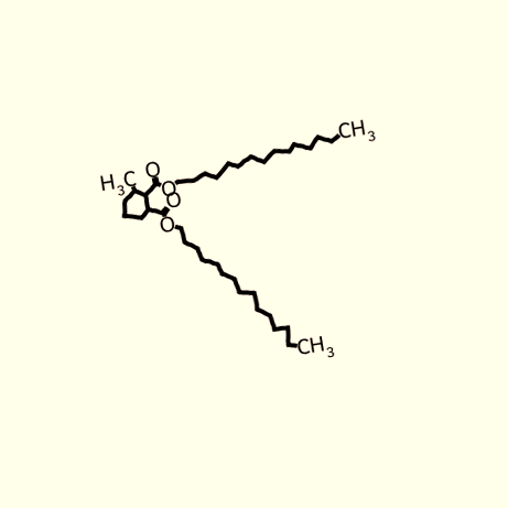 CCCCCCCCCCCCCCCOC(=O)C1CCCC(C)C1C(=O)OCCCCCCCCCCCCCCC